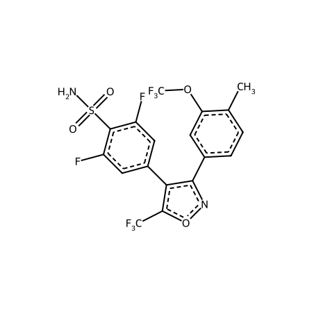 Cc1ccc(-c2noc(C(F)(F)F)c2-c2cc(F)c(S(N)(=O)=O)c(F)c2)cc1OC(F)(F)F